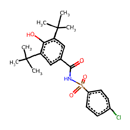 CC(C)(C)c1cc(C(=O)NS(=O)(=O)c2ccc(Cl)cc2)cc(C(C)(C)C)c1O